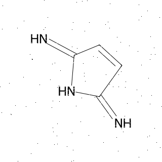 N=C1C=CC(=N)N1